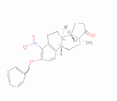 C[C@]12CC[C@@H]3c4ccc(OCc5ccccc5)c([N+](=O)[O-])c4CC[C@H]3[C@@H]1CCC2=O